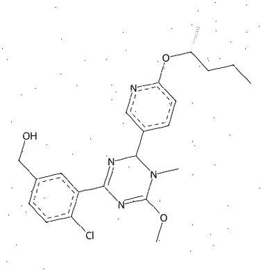 CCC[C@@H](C)Oc1ccc(C2N=C(c3cc(CO)ccc3Cl)N=C(OC)N2C)cn1